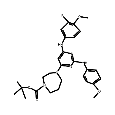 COc1ccc(Nc2nc(Nc3ccc(OC)c(F)c3)cc(N3CCCN(C(=O)OC(C)(C)C)CC3)n2)cc1